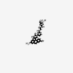 Cc1ccc2c(c1)C=Cc1cc(C(C)C)ccc1C2c1cn(-c2ccnc(NCC(=O)Nc3nc(CC(=O)O)cs3)n2)c(=O)[nH]c1=O